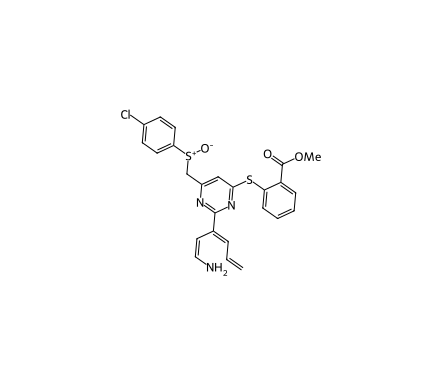 C=C/C=C(\C=C/N)c1nc(C[S+]([O-])c2ccc(Cl)cc2)cc(Sc2ccccc2C(=O)OC)n1